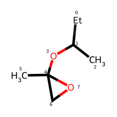 CCC(C)OC1(C)CO1